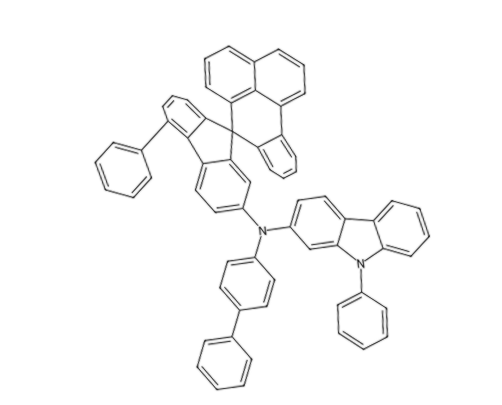 c1ccc(-c2ccc(N(c3ccc4c(c3)C3(c5ccccc5-c5cccc6cccc3c56)c3cccc(-c5ccccc5)c3-4)c3ccc4c5ccccc5n(-c5ccccc5)c4c3)cc2)cc1